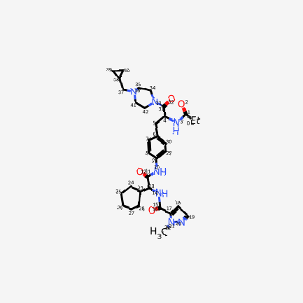 CCC(=O)NC(Cc1ccc(NC(=O)C(NC(=O)c2ccnn2C)C2CCCCC2)cc1)C(=O)N1CCN(CC2CC2)CC1